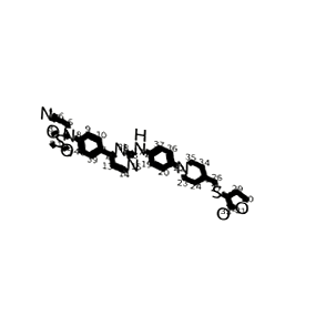 CS(=O)(=O)N(CC#N)c1ccc(-c2ccnc(Nc3ccc(N4CCC(CSC5CCOC5=O)CC4)cc3)n2)cc1